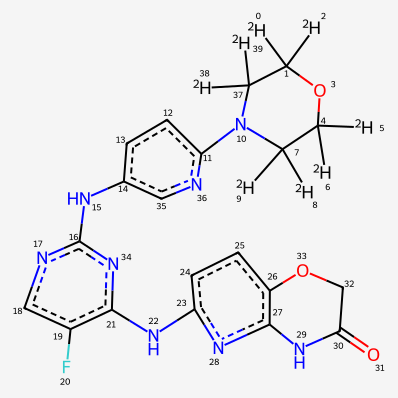 [2H]C1([2H])OC([2H])([2H])C([2H])([2H])N(c2ccc(Nc3ncc(F)c(Nc4ccc5c(n4)NC(=O)CO5)n3)cn2)C1([2H])[2H]